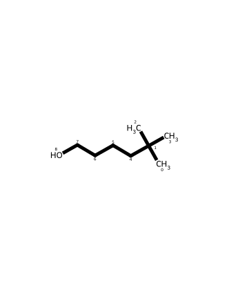 CC(C)(C)[CH]CCCO